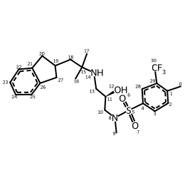 Cc1ccc(S(=O)(=O)N(C)C[C@H](O)CNC(C)(C)CC2Cc3ccccc3C2)cc1C(F)(F)F